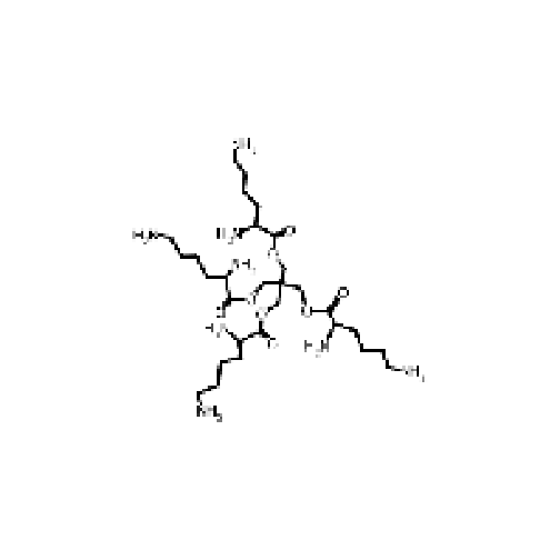 NCCCCC(N)C(=O)OCC(COC(=O)C(N)CCCCN)(COC(=O)C(N)CCCCN)COC(=O)C(N)CCCCN